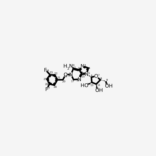 NC1=c2ncn([C@@H]3O[C@H](CO)[C@@H](O)[C@H]3O)c2=NCN1OCc1cc(F)cc(F)c1